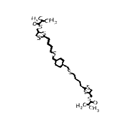 C=C(C)C(=O)SCC1CSC(CCCCSCC2CCC(CSCCCCC3SCC(CSC(=O)C(=C)C)S3)CC2)S1